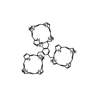 Oc1c(CC23C=C4C=CC(=N4)C=c4ccc([nH]4)=CC4=NC(=CC(=CC2)N3)C=C4)cc(CC23C=C4C=CC(=N4)C=c4ccc([nH]4)=CC4=NC(=CC(=CC2)N3)C=C4)cc1CC12C=C3C=CC(=N3)C=c3ccc([nH]3)=CC3=NC(=CC(=CC1)N2)C=C3